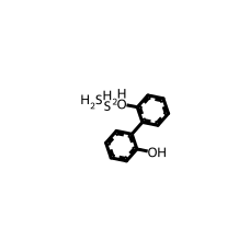 Oc1ccccc1-c1ccccc1O.S.S